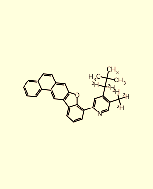 [2H]C([2H])([2H])c1cnc(-c2cccc3c2oc2cc4ccc5ccccc5c4cc23)cc1C([2H])([2H])C(C)(C)C